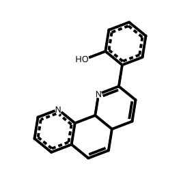 Oc1ccccc1C1=NC2c3ncccc3C=CC2C=C1